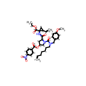 C=CCCCCCN(Cc1ccc(OC)cc1)C(=O)N1CC(OC(=O)c2ccc([N+](=O)[O-])cc2)CC1C(=O)NC1(C(=O)OCC)CC1C=C